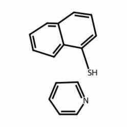 Sc1cccc2ccccc12.c1ccncc1